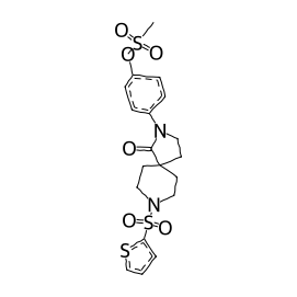 CS(=O)(=O)Oc1ccc(N2CCC3(CCN(S(=O)(=O)c4cccs4)CC3)C2=O)cc1